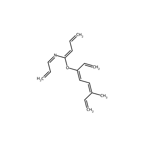 C=C/C=N\C(=C/C=C)O/C(C=C)=C/C=C(/C)C=C